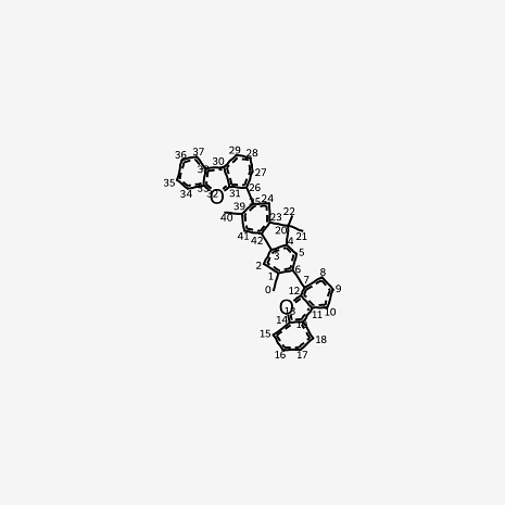 Cc1cc2c(cc1-c1cccc3c1oc1ccccc13)C(C)(C)c1cc(-c3cccc4c3oc3ccccc34)c(C)cc1-2